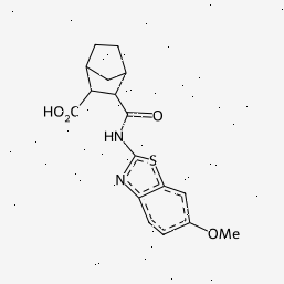 COc1ccc2nc(NC(=O)C3C4CCC(C4)C3C(=O)O)sc2c1